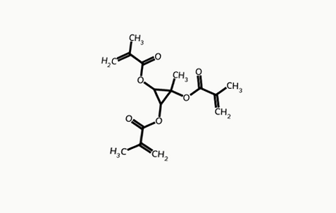 C=C(C)C(=O)OC1C(OC(=O)C(=C)C)C1(C)OC(=O)C(=C)C